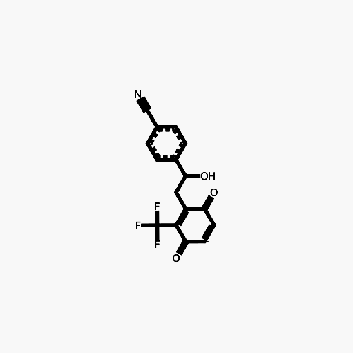 N#Cc1ccc(C(O)CC2=C(C(F)(F)F)C(=O)[C]=CC2=O)cc1